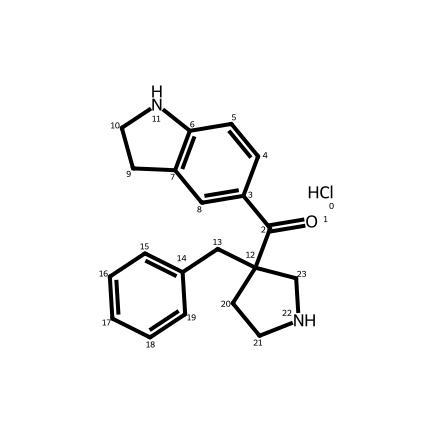 Cl.O=C(c1ccc2c(c1)CCN2)C1(Cc2ccccc2)CCNC1